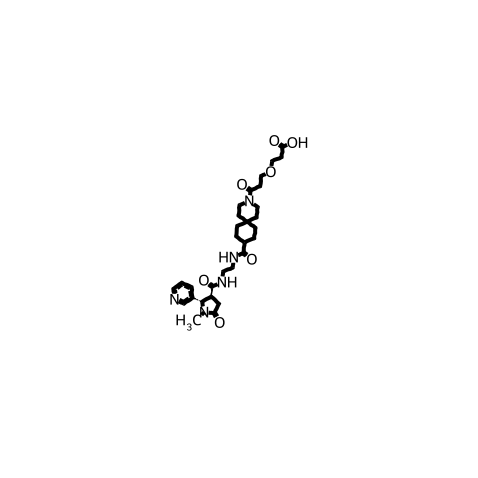 CN1C(=O)C[C@H](C(=O)NCCNC(=O)C2CCC3(CC2)CCN(C(=O)CCOCCC(=O)O)CC3)[C@H]1c1cccnc1